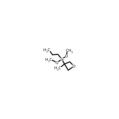 CCC[Si](OC)(OC)C1(C)COC1